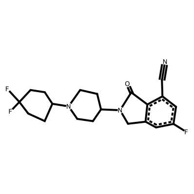 N#Cc1cc(F)cc2c1C(=O)N(C1CCN(C3CCC(F)(F)CC3)CC1)C2